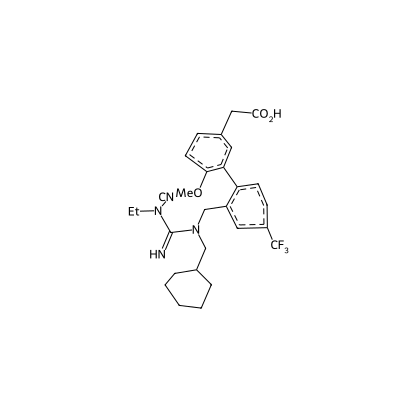 CCN(C#N)C(=N)N(Cc1cc(C(F)(F)F)ccc1-c1cc(CC(=O)O)ccc1OC)CC1CCCCC1